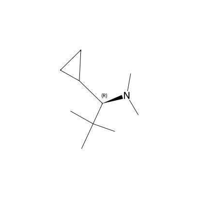 CN(C)[C@H](C1CC1)C(C)(C)C